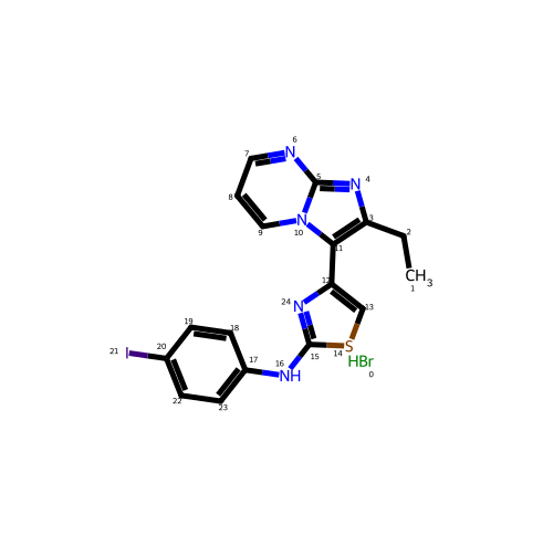 Br.CCc1nc2ncccn2c1-c1csc(Nc2ccc(I)cc2)n1